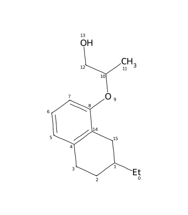 CCC1CCc2cccc(OC(C)CO)c2C1